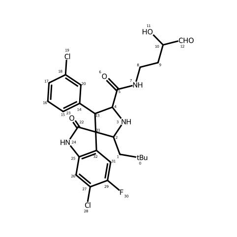 CC(C)(C)CC1NC(C(=O)NCCC(O)C=O)C(c2cccc(Cl)c2)C12C(=O)Nc1cc(Cl)c(F)cc12